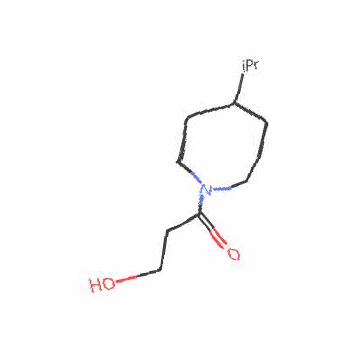 CC(C)C1CCN(C(=O)CCO)CC1